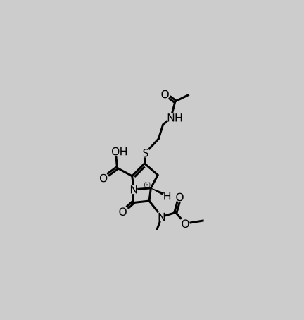 COC(=O)N(C)C1C(=O)N2C(C(=O)O)=C(SCCNC(C)=O)C[C@H]12